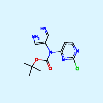 CC(C)(C)OC(=O)N(/C(C=N)=C/N)c1ccnc(Cl)n1